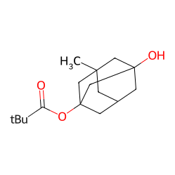 CC12CC3CC(O)(C1)CC(OC(=O)C(C)(C)C)(C3)C2